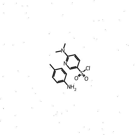 CN(C)c1ccc(S(=O)(=O)Cl)cn1.Cc1ccc(N)cc1